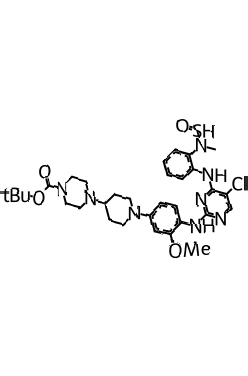 COc1cc(N2CCC(N3CCN(C(=O)OC(C)(C)C)CC3)CC2)ccc1Nc1ncc(Cl)c(Nc2ccccc2N(C)[SH]=O)n1